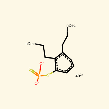 CCCCCCCCCCCCc1cccc(SP([O-])([O-])=S)c1CCCCCCCCCCCC.[Zn+2]